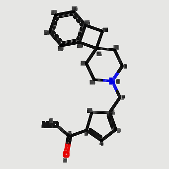 COC(=O)C1=CC=C(CN2CCC3(CC2)Cc2ccccc23)C1